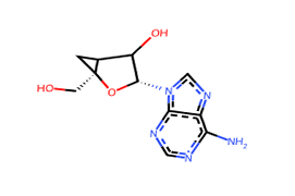 Nc1ncnc2c1ncn2[C@@H]1O[C@@]2(CO)CC2C1O